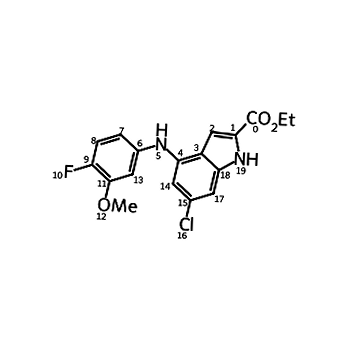 CCOC(=O)c1cc2c(Nc3ccc(F)c(OC)c3)cc(Cl)cc2[nH]1